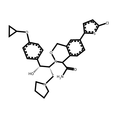 NC(=O)C1c2ccc(-c3ccc(Cl)s3)cc2CON1[C@H](CN1CCCC1)[C@H](O)c1ccc(OC2CC2)cc1